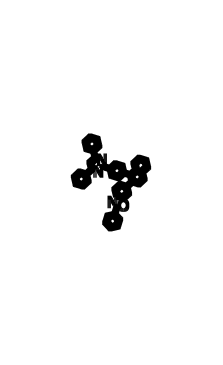 c1ccc(-c2cc(-c3ccccc3)nc(-c3ccc(-c4c(-c5ccc6nc(-c7ccccc7)oc6c5)ccc5ccccc45)cc3)n2)cc1